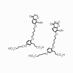 CCCc1c(OCCCCCOc2ccc(OCCCCC(=O)O)cc2CCC(=O)O)ccc2c1OCCC2=O.CCCc1c(OCCCCCOc2ccc(OCCCCC(=O)O)cc2CCC(=O)O)ccc2c1OCCC2=O.O